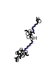 CCC(=O)OC(\C(C)=C/C=C\C=C\Cc1cnco1)C(C)(C)C(=O)NC\C=C/C=C/C=C/C=C/C(=O)N(OC(=O)CC)C1(C(=O)N(C)CC(C)OC)COCO1